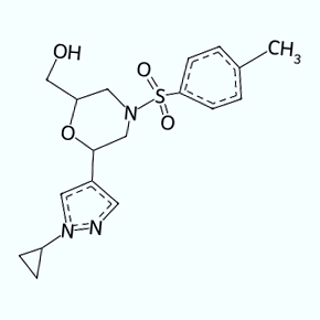 Cc1ccc(S(=O)(=O)N2CC(CO)OC(c3cnn(C4CC4)c3)C2)cc1